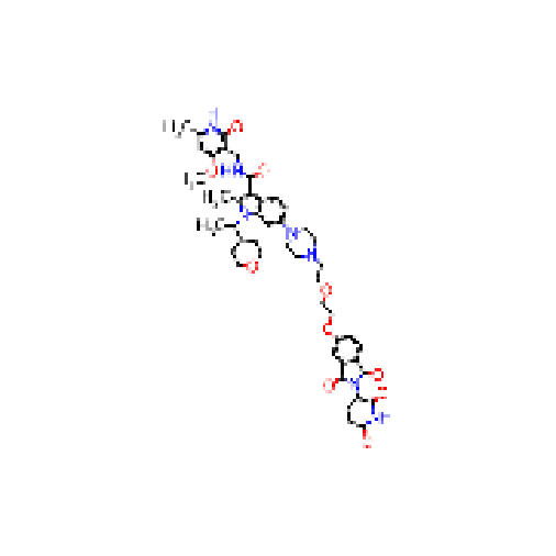 COc1cc(C)[nH]c(=O)c1CNC(=O)c1c(C)n(C(C)C2CCOCC2)c2cc(N3CCN(CCOCCOc4ccc5c(c4)C(=O)N(C4CCC(=O)NC4=O)C5=O)CC3)ccc12